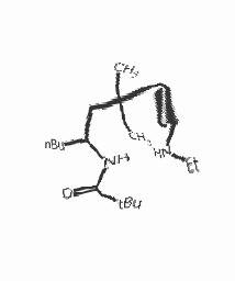 CCCCC(CC(C)(C)/C=C\NCC)NC(=O)C(C)(C)C